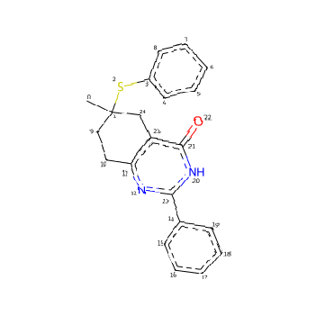 CC1(Sc2ccccc2)CCc2nc(-c3ccccc3)[nH]c(=O)c2C1